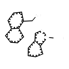 NCc1cccc2ccccc12.O=C(O)n1ncc2ccccc21